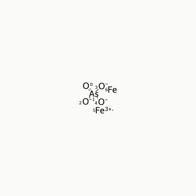 O=[As]([O-])([O-])[O-].[Fe+3].[Fe]